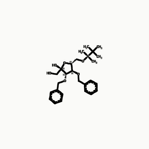 CC(C)(C)[Si](C)(C)OC[C@H]1O[C@@](O)(CO)[C@@H](OCc2ccccc2)[C@@H]1OCc1ccccc1